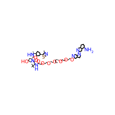 Cc1ncsc1-c1ccc([C@H](C)NC(=O)[C@@H]2C[C@@H](O)CN2C(=O)[C@@H](NC(=O)COCCOCCOCCOCCOCCOc2cc3ccn(-c4cc5c(N)cccc5cn4)c3cn2)C(C)(C)C)cc1